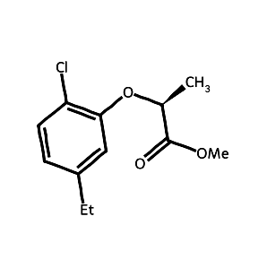 CCc1ccc(Cl)c(O[C@@H](C)C(=O)OC)c1